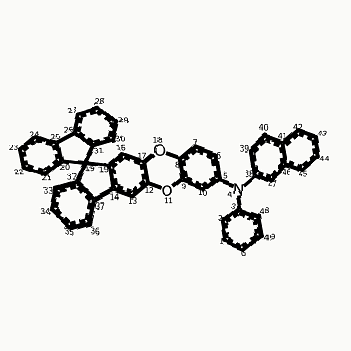 c1ccc(N(c2ccc3c(c2)Oc2cc4c(cc2O3)C2(c3ccccc3-c3ccccc32)c2ccccc2-4)c2ccc3ccccc3c2)cc1